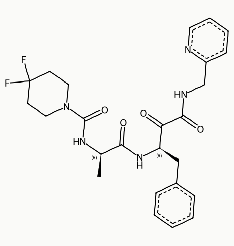 C[C@@H](NC(=O)N1CCC(F)(F)CC1)C(=O)N[C@H](Cc1ccccc1)C(=O)C(=O)NCc1ccccn1